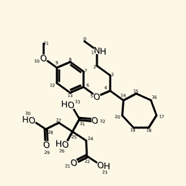 CNCCC(Oc1ccc(OC)cc1)C1CCCCCC1.O=C(O)CC(O)(CC(=O)O)C(=O)O